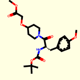 COC(=O)COC1CCN(C(=O)[C@H](Cc2ccc(OC)cc2)NC(=O)OC(C)(C)C)CC1